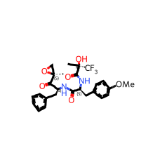 COc1ccc(C[C@H](NC(=O)[C@@](C)(O)C(F)(F)F)C(=O)N[C@@H](Cc2ccccc2)C(=O)[C@]2(C)CO2)cc1